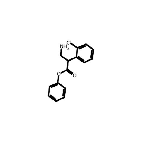 NCC(C(=O)Oc1ccccc1)c1ccccc1Cl